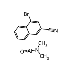 C[N](C)[Al]=[O].N#Cc1cc(Br)c2ccccc2c1